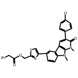 CC(C)CC(=O)OCc1nc(-c2ccc3c(c2)c2cc(-c4ccc(Cl)cc4)c(=O)n(C)c2n3C)cs1